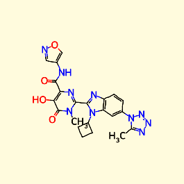 Cc1nnnn1-c1ccc2nc(-c3nc(C(=O)Nc4cnoc4)c(O)c(=O)n3C)n(C3CCC3)c2c1